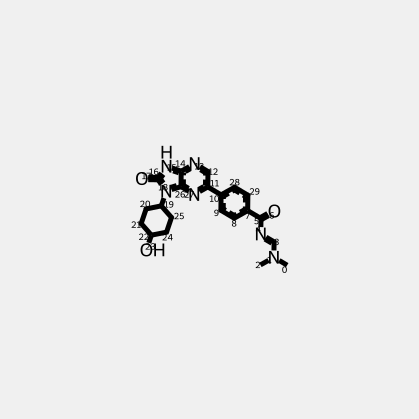 CN(C)C=NC(=O)c1ccc(-c2cnc3[nH]c(=O)n(C4CCC(O)CC4)c3n2)cc1